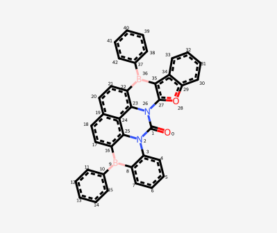 O=C1N2c3ccccc3B(c3ccccc3)c3ccc4ccc5c(c4c32)N1c1oc2ccccc2c1B5c1ccccc1